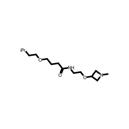 CC(C)CCOCCCC(=O)NCCOC1CN(C)C1